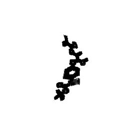 C=C(C)C(=O)OC(C)C(OC)Oc1ccc(NC(=O)OC(C)(C)C)cc1